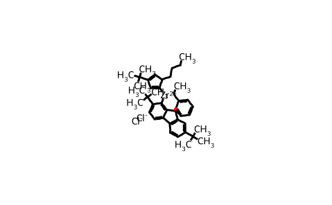 CCCCC1C=C(C(C)(C)C)C=[C]1/[Zr+2](=[C](\C)c1ccccc1)[c]1c(C(C)(C)C)ccc2c1Cc1cc(C(C)(C)C)ccc1-2.[Cl-].[Cl-]